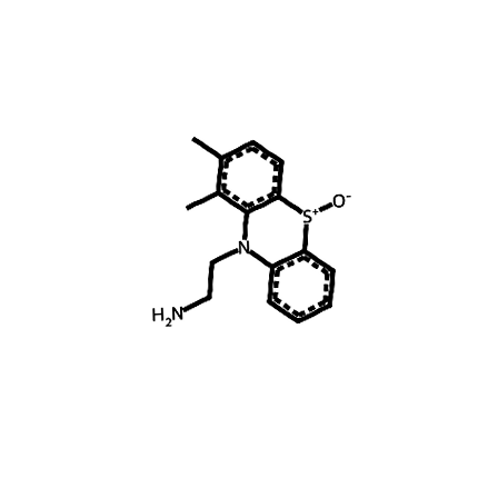 Cc1ccc2c(c1C)N(CCN)c1ccccc1[S+]2[O-]